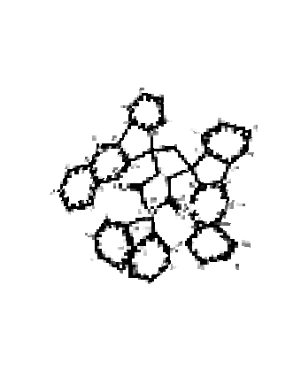 O=C(CC1(CC2(CC(=O)Oc3ccccc3)c3ccccc3-c3nc4ccccc4nc32)c2ccccc2-c2nc3ccccc3nc21)Oc1ccccc1